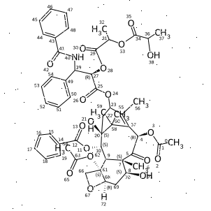 CC(=O)O[C@H]1C(=O)[C@@]2(C)C([C@H](OC(=O)c3ccccc3)[C@]3(O)CC(OC(=O)[C@H](OC(=O)C(C)OC(=O)C(C)O)C(NC(=O)c4ccccc4)c4ccccc4)C(C)=C1C3(C)C)[C@]1(OC(C)=O)CO[C@@H]1C[C@@H]2O